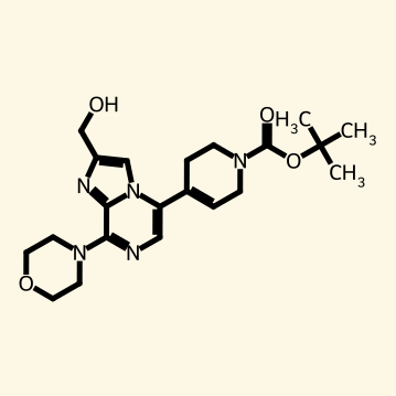 CC(C)(C)OC(=O)N1CC=C(c2cnc(N3CCOCC3)c3nc(CO)cn23)CC1